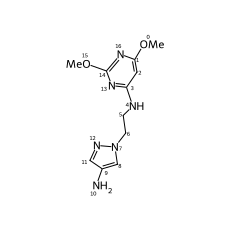 COc1cc(NCCn2cc(N)cn2)nc(OC)n1